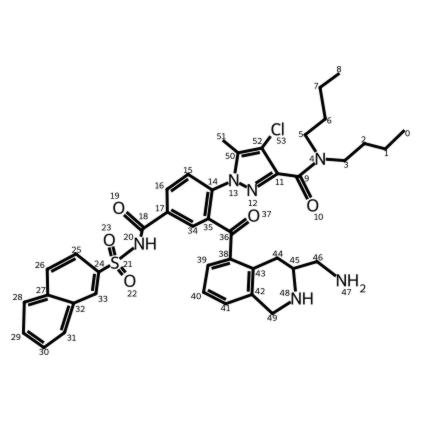 CCCCN(CCCC)C(=O)c1nn(-c2ccc(C(=O)NS(=O)(=O)c3ccc4ccccc4c3)cc2C(=O)c2cccc3c2CC(CN)NC3)c(C)c1Cl